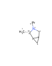 CC(C)N1CC2CC2[C@@H]1C